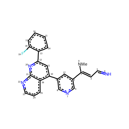 CN/C(=C\C=N)c1cncc(-c2cc(-c3ccccc3F)nc3ncccc23)c1